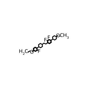 C=CCOc1ccc(C2CCC(CCc3ccc(C4CCC(OCC)CC4)c(F)c3F)CC2)c(F)c1